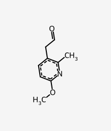 COc1ccc(CC=O)c(C)n1